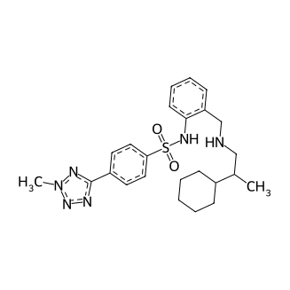 CC(CNCc1ccccc1NS(=O)(=O)c1ccc(-c2nnn(C)n2)cc1)C1CCCCC1